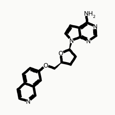 Nc1ncnc2c1ccn2[C@H]1CC[C@@H](COc2ccc3ccncc3c2)O1